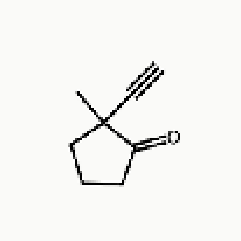 C#CC1(C)CCCC1=O